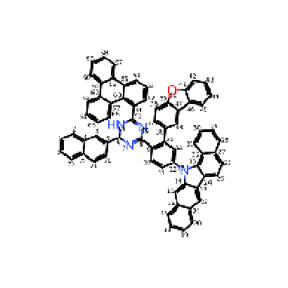 c1ccc2cc(C3N=C(c4ccc(-n5c6cc7ccccc7cc6c6ccc7ccccc7c65)cc4-c4ccc5oc6ccccc6c5c4)N=C(c4cccc5c6ccccc6c6ccccc6c45)N3)ccc2c1